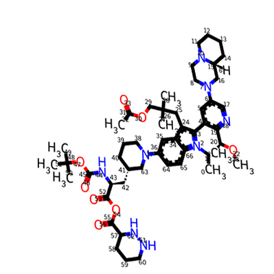 CCn1c(-c2cc(N3CCN4CCCC[C@@H]4C3)cnc2[C@H](C)OC)c(CC(C)(C)COC(C)=O)c2cc(N3CCC[C@@H](C[C@H](NC(=O)OC(C)(C)C)C(=O)OC(=O)C4CCCNN4)C3)ccc21